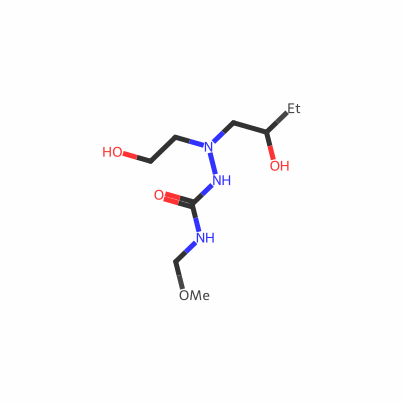 CCC(O)CN(CCO)NC(=O)NCOC